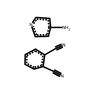 N#Cc1ccccc1C#N.Nc1ccncc1